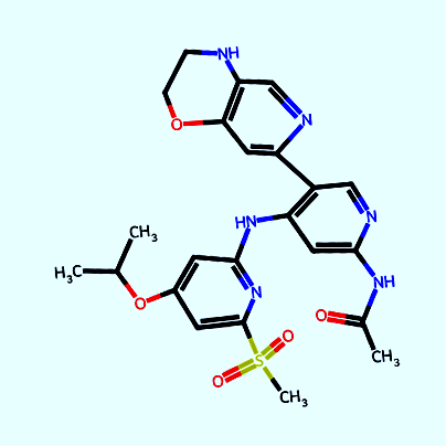 CC(=O)Nc1cc(Nc2cc(OC(C)C)cc(S(C)(=O)=O)n2)c(-c2cc3c(cn2)NCCO3)cn1